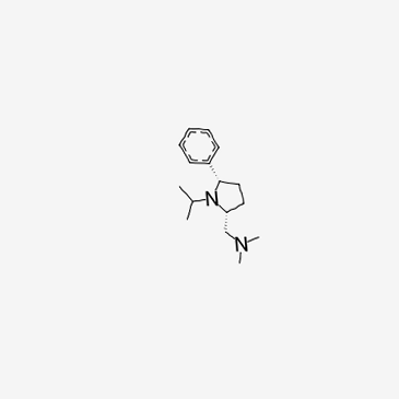 CC(C)N1[C@@H](CN(C)C)CC[C@H]1c1ccccc1